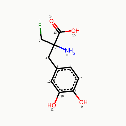 NC(CF)(Cc1ccc(O)c(O)c1)C(=O)O